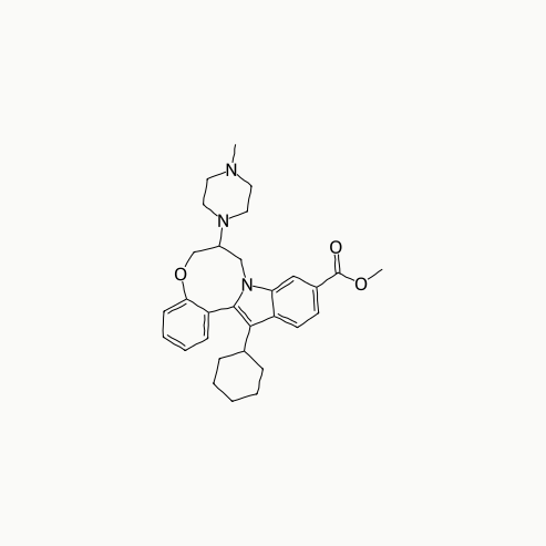 COC(=O)c1ccc2c(C3CCCCC3)c3n(c2c1)CC(N1CCN(C)CC1)COc1ccccc1-3